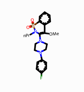 CCCN1C(N2CCN(c3ccc(F)cc3)CC2)=C(OC)c2ccccc2S1(=O)=O